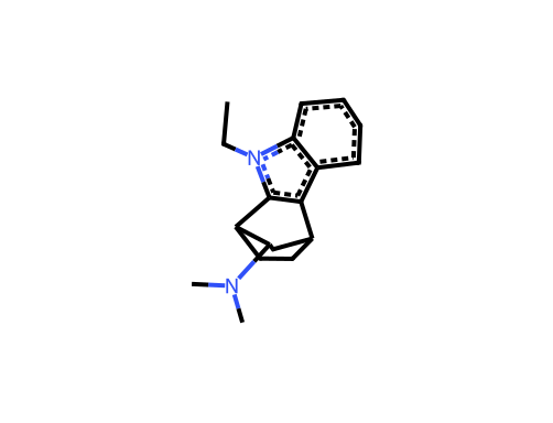 CCn1c2c(c3ccccc31)C1CCC2C(N(C)C)C1